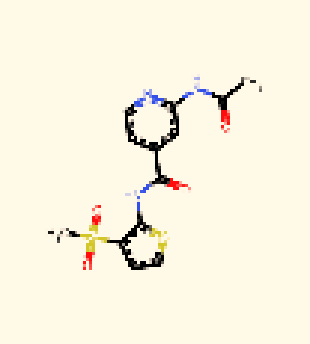 CC(=O)Nc1cc(C(=O)Nc2sccc2S(C)(=O)=O)ccn1